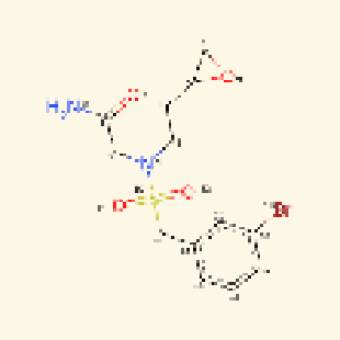 NC(=O)CN(CCC1CO1)S(=O)(=O)Cc1cccc(Br)c1